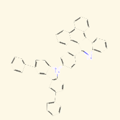 c1ccc(-c2ccc3c(c2)c2cc(-c4ccccc4)ccc2n3-c2ccc(-c3nc4ccccc4c4c5ccccc5c5ccccc5c34)cc2)cc1